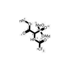 CCCOC(=O)C(NC(=O)C(F)(F)F)P(=O)(OC)OC